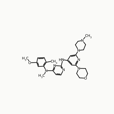 COc1ccc(C)c(N(C)c2ccnc(Nc3cc(N4CCOCC4)nc(N4CCN(C)CC4)c3)n2)c1